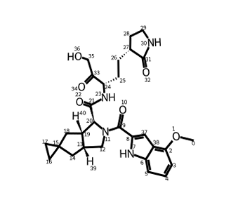 COc1cccc2[nH]c(C(=O)N3C[C@@H]4CC5(CC5)C[C@@H]4[C@H]3C(=O)N[C@@H](CC[C@@H]3CCNC3=O)C(=O)CO)cc12